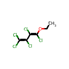 CCOC(Cl)=C(Cl)C(Cl)=C(Cl)Cl